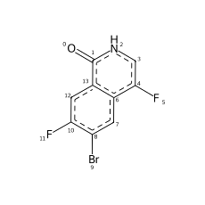 O=c1[nH]cc(F)c2cc(Br)c(F)cc12